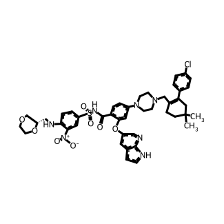 CC1(C)CCC(CN2CCN(c3ccc(C(=O)NS(=O)(=O)c4ccc(NC[C@H]5COCCO5)c([N+](=O)[O-])c4)c(Oc4cnc5[nH]ccc5c4)c3)CC2)=C(c2ccc(Cl)cc2)C1